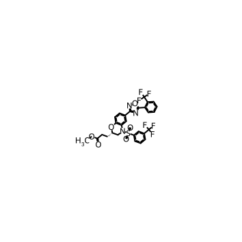 COC(=O)CC[C@H]1CN(S(=O)(=O)c2cccc(C(F)(F)F)c2)c2cc(-c3noc(-c4ccccc4C(F)(F)F)n3)ccc2O1